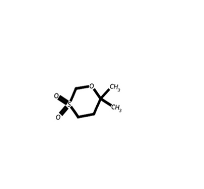 CC1(C)CCS(=O)(=O)CO1